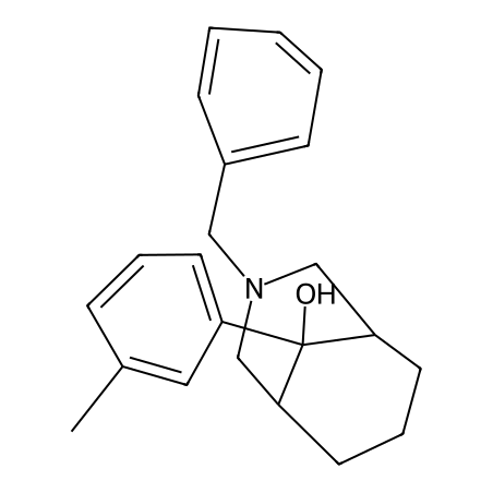 Cc1cccc(C2(O)C3CCCC2CN(Cc2ccccc2)C3)c1